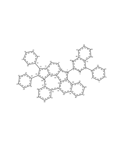 c1ccc(-c2nc(-n3c4ccc5c(-c6ccccc6)c(-c6ccccc6)n6c7ccccc7c7cc8ccccc8c3c7c4c56)nc3ccccc23)cc1